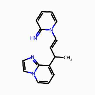 CC(/C=C/n1ccccc1=N)c1cccn2ccnc12